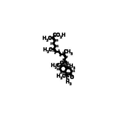 CC(=CCCC(C)=CCC[C@@H]1[C@@]2(C)CCC(=O)C(C)(C)C2CC[C@@]1(C)O)CCC=C(C)C(=O)O